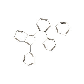 c1ccc(-c2cccc(-c3oc(-c4ccccc4)c4ccccc34)c2-c2ccccc2)cc1